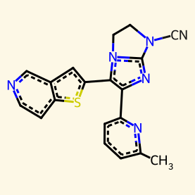 Cc1cccc(-c2nc3n(c2-c2cc4cnccc4s2)CCN3C#N)n1